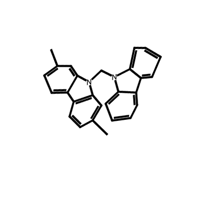 Cc1ccc2c3ccc(C)cc3n(Cn3c4ccccc4c4ccccc43)c2c1